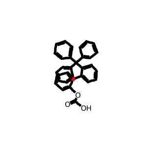 O=C(O)Oc1ccccc1-c1ccccc1C(c1ccccc1)(c1ccccc1)c1ccccc1